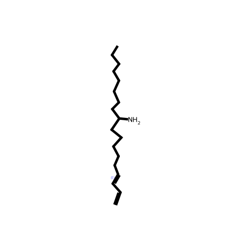 C=C/C=C/CCCCCC(N)CCCCCCCC